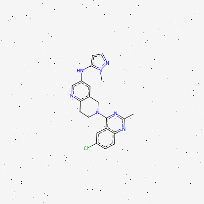 Cc1nc(N2CCc3ncc(Nc4ccnn4C)cc3C2)c2cc(Cl)ccc2n1